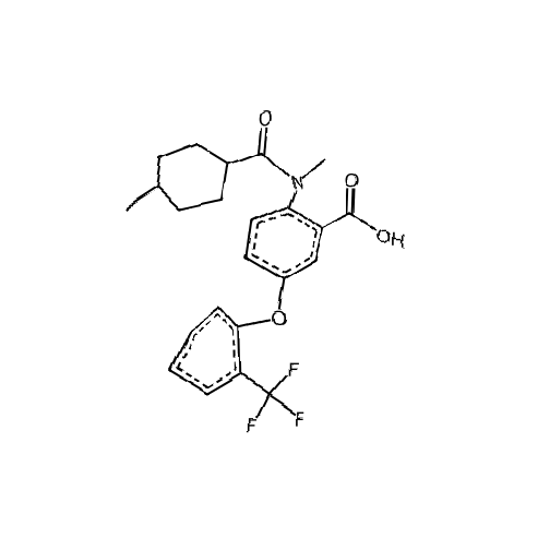 CC1CCC(C(=O)N(C)c2ccc(Oc3ccccc3C(F)(F)F)cc2C(=O)O)CC1